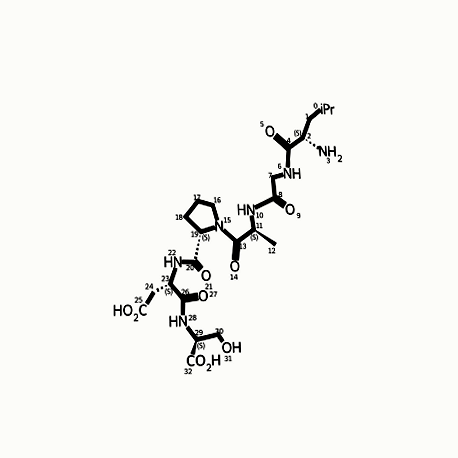 CC(C)C[C@H](N)C(=O)NCC(=O)N[C@@H](C)C(=O)N1CCC[C@H]1C(=O)N[C@@H](CC(=O)O)C(=O)N[C@@H](CO)C(=O)O